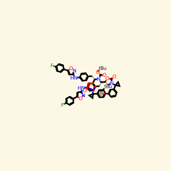 CC(C)(C)OC(=O)N([C@@H](Cc1ccc(Nc2cc(-c3ccc(F)cc3)on2)cc1)[C@H]1CN(C2(c3cccc(C(C)(C)C)c3)CC2)C(=O)O1)[C@@H](Cc1ccc(Nc2cc(-c3ccc(F)cc3)on2)cc1)[C@H]1CN(C2(c3cccc(C(C)(C)C)c3)CC2)C(=O)O1